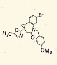 COc1ccc(CN2C(=O)CC3(c4ncc(C)o4)CC3c3ccc(Br)cc32)cc1